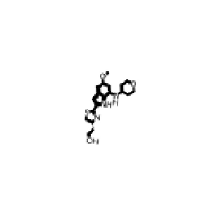 COc1cc(NC2CCOCC2)c2[nH]c(C3=N[C@H](CCO)CS3)cc2c1